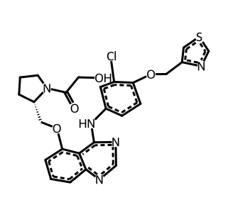 O=C(CO)N1CCC[C@H]1COc1cccc2ncnc(Nc3ccc(OCc4cscn4)c(Cl)c3)c12